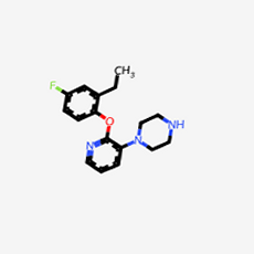 CCc1cc(F)ccc1Oc1ncccc1N1CCNCC1